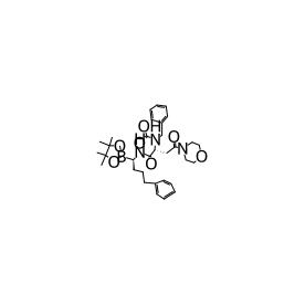 CC1(C)OB([C@H](CCCc2ccccc2)NC(=O)[C@@H](CC(=O)N2CCOCC2)N(Cc2ccccc2)C(=O)O)OC1(C)C